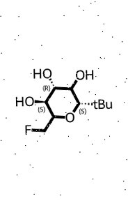 CC(C)(C)[C@@H]1OC(CF)[C@@H](O)[C@H](O)C1O